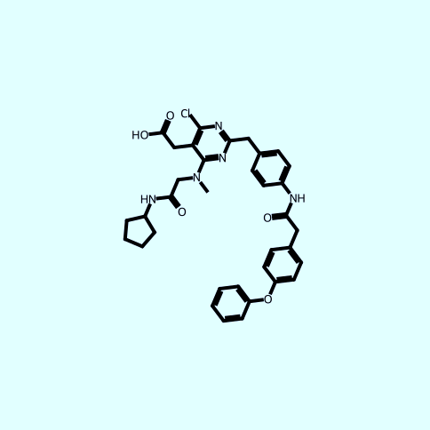 CN(CC(=O)NC1CCCC1)c1nc(Cc2ccc(NC(=O)Cc3ccc(Oc4ccccc4)cc3)cc2)nc(Cl)c1CC(=O)O